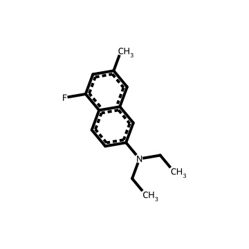 CCN(CC)c1ccc2c(F)cc(C)cc2c1